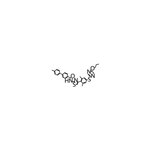 CCCOc1cnc(Sc2cc(C)c(-c3csc(NC(=O)c4ccc(-c5ccc(C)cc5)cc4)n3)c(C)c2)cn1